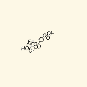 CC(C)C(OC(=O)c1ccc(OC(=O)OC(C)(C)C)cc1)C(C(=O)O)C(F)(F)F